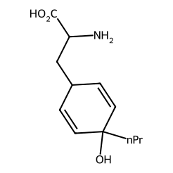 CCCC1(O)C=CC(CC(N)C(=O)O)C=C1